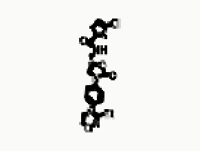 CCC1=NOCCN1c1ccc(N2C[C@H](CNC(=O)C3CC=C(Cl)S3)OC2=O)cc1